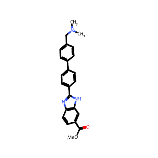 COC(=O)c1ccc2nc(-c3ccc(-c4ccc(CN(C)C)cc4)cc3)[nH]c2c1